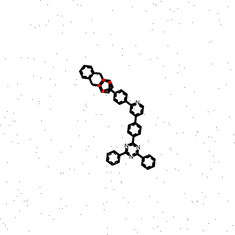 c1ccc(-c2nc(-c3ccccc3)nc(-c3ccc(-c4ccnc(-c5ccc(C6CC7=C(C6)C6c8ccccc8C7c7ccccc76)cc5)c4)cc3)n2)cc1